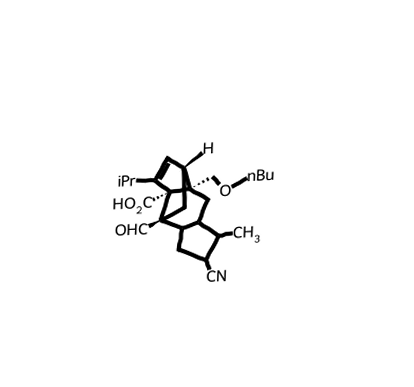 CCCCOC[C@@]12CC3C(C)C(C#N)CC3[C@@]3(C=O)C[C@@H]1C=C(C(C)C)[C@@]23C(=O)O